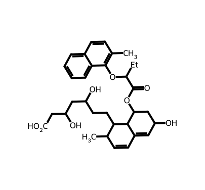 CCC(Oc1c(C)ccc2ccccc12)C(=O)OC1CC(O)C=C2C=CC(C)C(CCC(O)CC(O)CC(=O)O)C21